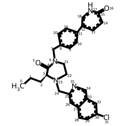 CCC[C@H]1C(=O)N(Cc2ccc(-c3ccc(=O)[nH]c3)cc2)CCN1Cc1cc2ccc(Cl)cc2cn1